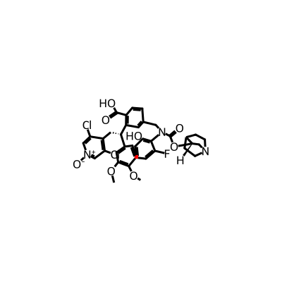 COc1ccc([C@H](Cc2c(Cl)c[n+]([O-])cc2Cl)c2cc(CN(C(=O)O[C@H]3CN4CCC3CC4)c3c(O)cccc3F)ccc2C(=O)O)cc1OC